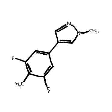 Cc1c(F)cc(-c2cnn(C)c2)cc1F